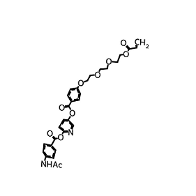 C=CC(=O)OCCOCCOCCOc1ccc(C(=O)Oc2ccc(OC(=O)c3ccc(NC(C)=O)cc3)nc2)cc1